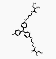 Cc1ccc(N(c2ccc(OCCCOC(=O)C(CC(C)C)C(C)C)cc2)c2ccc(OCCCOC(=O)C(CC(C)C)C(C)C)cc2)cc1